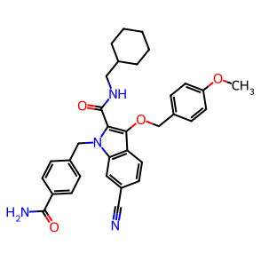 COc1ccc(COc2c(C(=O)NCC3CCCCC3)n(Cc3ccc(C(N)=O)cc3)c3cc(C#N)ccc23)cc1